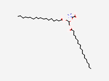 CCCCCCCCCCCCCCCCCC(=O)OCC(COC(=O)CCCCCCCCCCCCCCCCC)OC(C(=O)[O-])[N+](C)(C)C